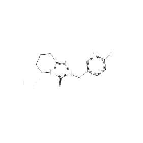 O=C(O)[C@@H]1CCCc2nn(Cc3ccc(C(F)(F)F)nc3)c(=O)n21